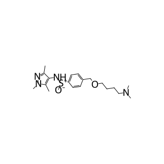 Cc1nn(C)c(C)c1N[S+]([O-])c1ccc(COCCCCN(C)C)cc1